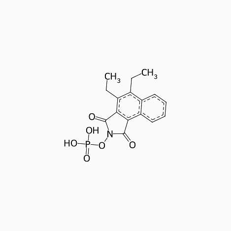 CCc1c2c(c3ccccc3c1CC)C(=O)N(OP(=O)(O)O)C2=O